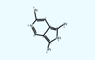 CC(C)c1cc2c(C(C)C)[nH]c(C(C)C)c2cn1